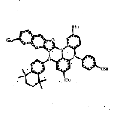 CC(C)(C)c1ccc(N2c3ccc(C(C)(C)C)cc3B3c4oc5cc6ccc(C(C)(C)C)cc6cc5c4N(c4ccc5c(c4)C(C)(C)CCC5(C)C)c4cc(C(C)(C)C)cc2c43)cc1